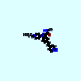 CC(C)NC(=O)c1nn(C2CCN(CC(=O)O)CC2)c2ccc(CCC3CCNCC3)cc12